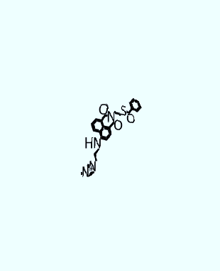 C[n+]1ccn(CCCNc2ccc3c4c(cccc24)C(=O)N(CCSC(=O)c2ccccc2)C3=O)c1